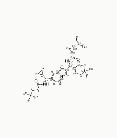 O=C(CCC(F)(F)F)NC(c1cnn2cc([C@@H](NC(=O)[C@@H]3C[C@@H]3C(F)F)C3CCC(F)(F)CC3)nc2c1)C1CC1